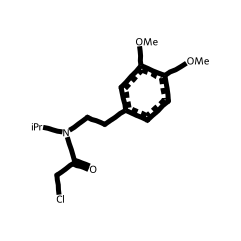 COc1ccc(CCN(C(=O)CCl)C(C)C)cc1OC